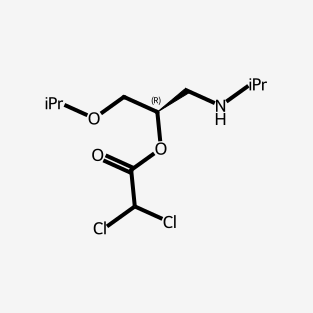 CC(C)NC[C@H](COC(C)C)OC(=O)C(Cl)Cl